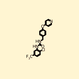 O=C(NCc1ccc(Oc2ccncc2)cc1)Nc1cc(C(F)(F)F)ccc1Cl